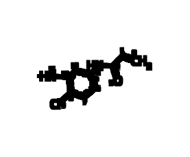 C=CC(=O)Nc1ccc(Cl)c([NH])c1